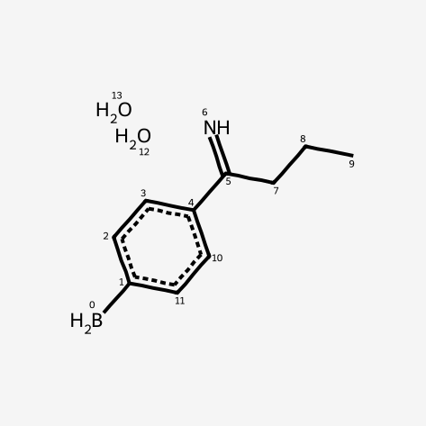 Bc1ccc(C(=N)CCC)cc1.O.O